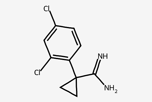 N=C(N)C1(c2ccc(Cl)cc2Cl)CC1